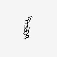 N#Cc1ccc([C@@H](O)Cn2nnc(Cn3cnc4scc(C(N)=O)c4c3=O)n2)s1